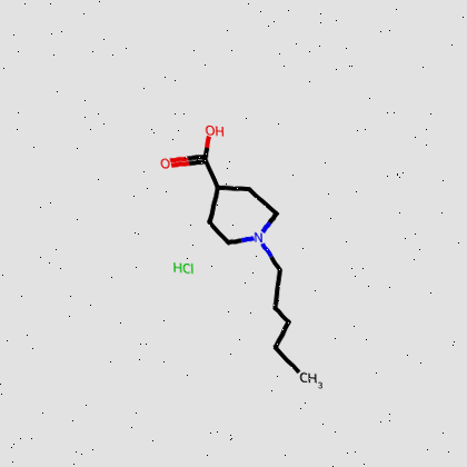 CCCCCN1CCC(C(=O)O)CC1.Cl